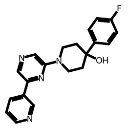 OC1(c2ccc(F)cc2)CCN(c2cncc(-c3cccnc3)n2)CC1